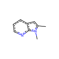 Cc1cc2cc[c]nc2n1C